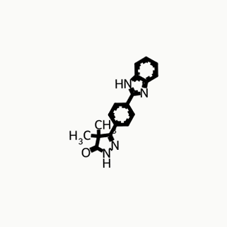 CC1(C)C(=O)NN=C1c1ccc(-c2nc3ccccc3[nH]2)cc1